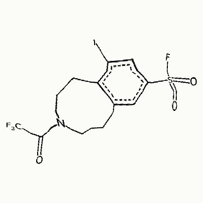 O=C(N1CCc2cc(S(=O)(=O)F)cc(I)c2CC1)C(F)(F)F